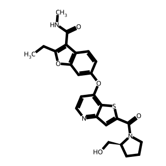 CCc1oc2cc(Oc3ccnc4cc(C(=O)N5CCC[C@H]5CO)sc34)ccc2c1C(=O)NC